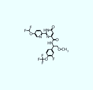 COCC(NC(=O)c1cc(=O)[nH]c(-c2ccc(OC(F)F)cn2)n1)c1ccc(OC(F)(F)F)c(F)c1